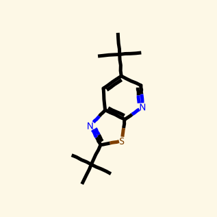 CC(C)(C)c1cnc2sc(C(C)(C)C)nc2c1